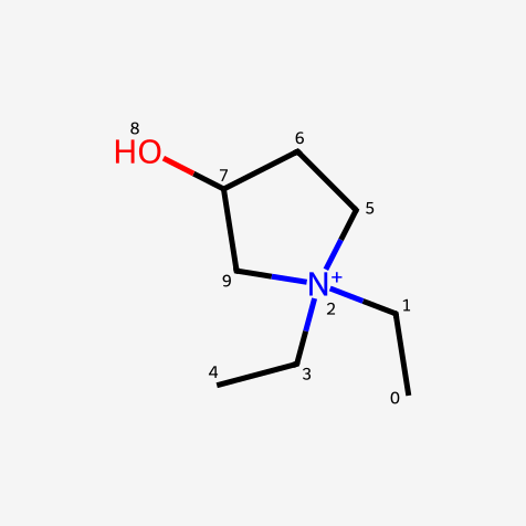 CC[N+]1(CC)CCC(O)C1